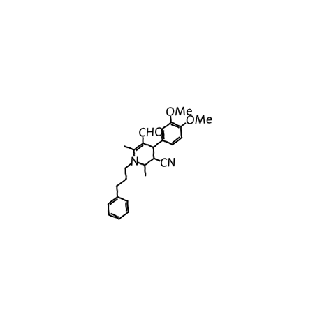 COc1ccc(C2C(C=O)=C(C)N(CCCc3ccccc3)C(C)C2C#N)cc1OC